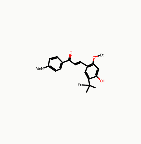 CCOc1cc(O)c(C(C)(C)CC)cc1C=CC(=O)c1ccc(NC)cc1